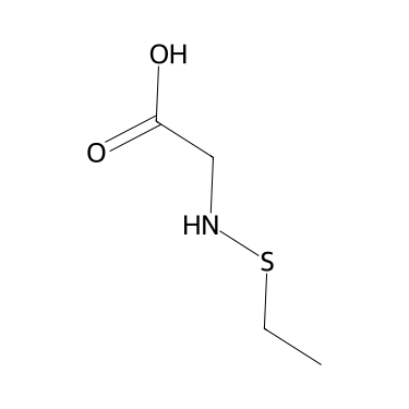 CCSNCC(=O)O